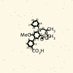 COc1cc2c(cc1-c1cccc(C(=O)O)c1)S(=O)(=O)N(C)C(C)CN2c1ccccc1